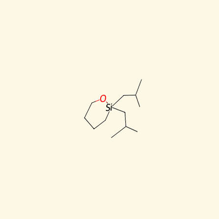 CC(C)C[Si]1(CC(C)C)CCCCO1